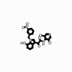 O=C(Nc1c(Cl)cncc1Cl)C(=O)c1cn(Cc2cccc([N+](=O)[O-])c2)c2c(O)cccc12